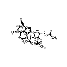 CC(=O)OC[C@H]1O[C@@H](c2cc(C#N)c3c(N(C)N)ncnn23)[C@](C)(OC(C)=O)[C@@H]1OC(C)=O